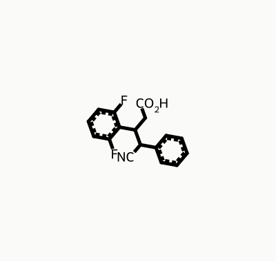 N#CC(c1ccccc1)C(CC(=O)O)c1c(F)cccc1F